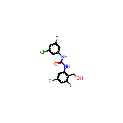 O=C(Nc1cc(Cl)cc(Cl)c1)Nc1cc(Cl)cc(Cl)c1CO